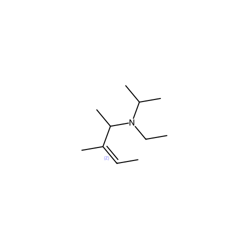 C/C=C(/C)C(C)N(CC)C(C)C